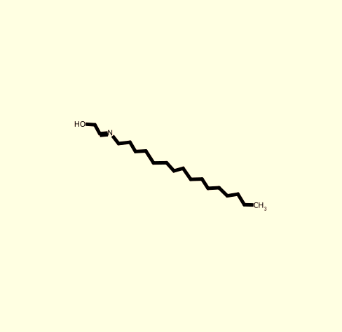 CCCCCCCCCCCCCCCCN=CCO